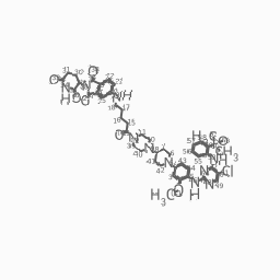 COc1cc(N2CCC(N3CCN(C(=O)CCCCNc4ccc5c(c4)C(=O)N(C4CCC(=O)NC4=O)C5=O)CC3)CC2)ccc1Nc1ncc(Cl)c(Nc2ccccc2P(C)(C)=O)n1